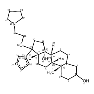 C[C@]12CCC(O)CC1CC[C@@H]1[C@H]2CC[C@]2(C)C(OCCN3CCCC3)(c3ccoc3)CC[C@@]12O